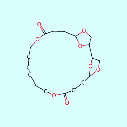 O=C1CCC2OCC(O2)C2COC(CCC(=O)OCCCCCCO1)O2